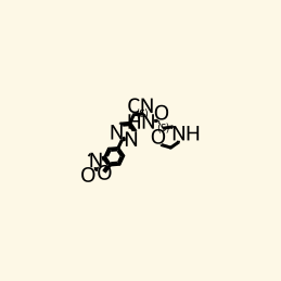 Cn1c(=O)oc2ccc(-c3ncc(C[C@@H](C#N)NC(=O)[C@@H]4CNCCCO4)cn3)cc21